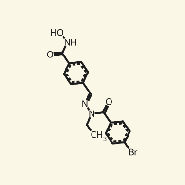 CCN(/N=C/c1ccc(C(=O)NO)cc1)C(=O)c1ccc(Br)cc1